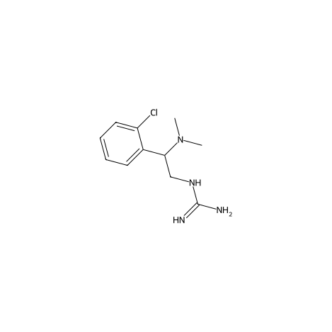 CN(C)C(CNC(=N)N)c1ccccc1Cl